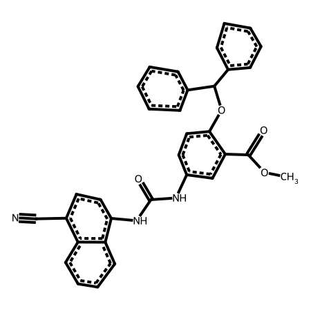 COC(=O)c1cc(NC(=O)Nc2ccc(C#N)c3ccccc23)ccc1OC(c1ccccc1)c1ccccc1